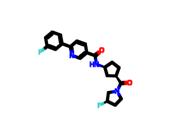 O=C(N[C@H]1CC[C@@H](C(=O)N2CC[C@@H](F)C2)C1)c1ccc(-c2cccc(F)c2)nc1